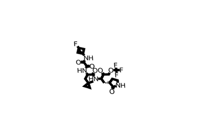 CC1(CC(NC(=O)C(=O)NC23CC(F)(C2)C3)C(=O)NC(C[C@@H]2CCNC2=O)C(=O)COC(F)(F)F)CC1